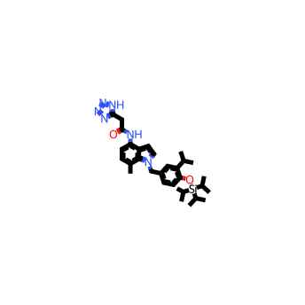 Cc1ccc(NC(=O)Cc2nnn[nH]2)c2ccn(Cc3ccc(O[Si](C(C)C)(C(C)C)C(C)C)c(C(C)C)c3)c12